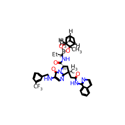 CC[C@H](NC(=O)[C@@H]1C[C@@](C)(CC(=O)Nc2nccc3ccccc23)c2ncc(NCc3cccc(C(F)(F)F)c3)c(=O)n21)B1O[C@@H]2C[C@@H]3C[C@@H](C3(C)C)[C@]2(C)O1